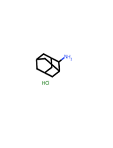 Cl.NC1C2CC3CC(C2)CC1C3